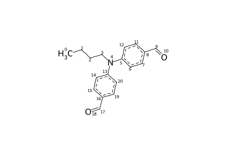 CCCCN(c1ccc(C=O)cc1)c1ccc(C=O)cc1